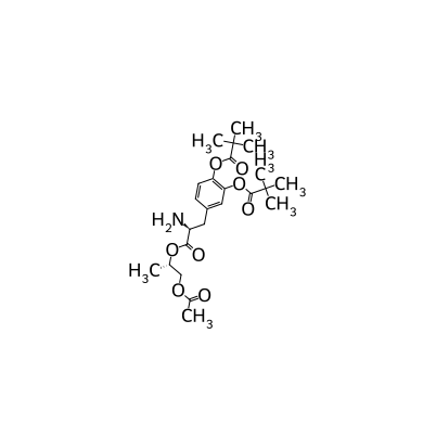 CC(=O)OC[C@H](C)OC(=O)[C@@H](N)Cc1ccc(OC(=O)C(C)(C)C)c(OC(=O)C(C)(C)C)c1